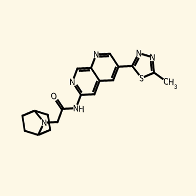 Cc1nnc(-c2cnc3cnc(NC(=O)CN4C5CCC4CC5)cc3c2)s1